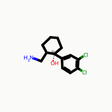 NCC1CCCC[C@@]1(O)c1ccc(Cl)c(Cl)c1